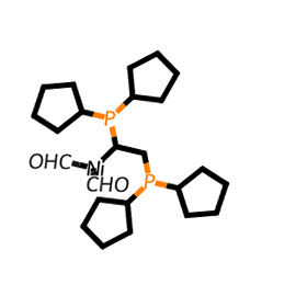 O=[CH][Ni]([CH]=O)[CH](CP(C1CCCC1)C1CCCC1)P(C1CCCC1)C1CCCC1